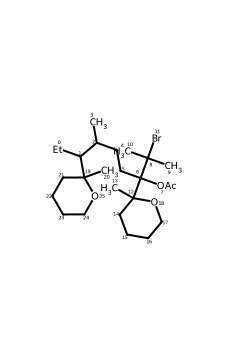 [CH2]CC(C(C)CCC(OC(C)=O)(C(C)(C)Br)C1(C)CCCCO1)C1(C)CCCCO1